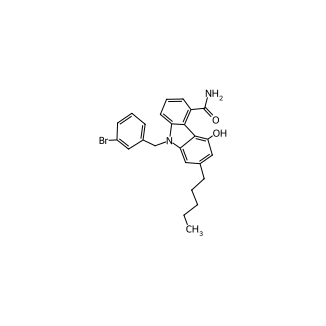 CCCCCc1cc(O)c2c3c(C(N)=O)cccc3n(Cc3cccc(Br)c3)c2c1